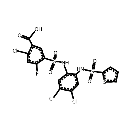 O=C(O)c1cc(S(=O)(=O)Nc2cc(Cl)c(Cl)cc2NS(=O)(=O)c2cccs2)c(F)cc1Cl